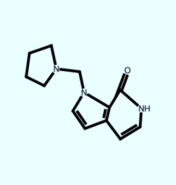 O=c1[nH]ccc2ccn(CN3CCCC3)c12